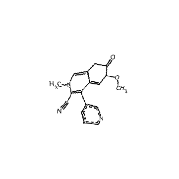 COC1C=C2C(=CN(C)C(C#N)=C2c2cccnc2)CC1=O